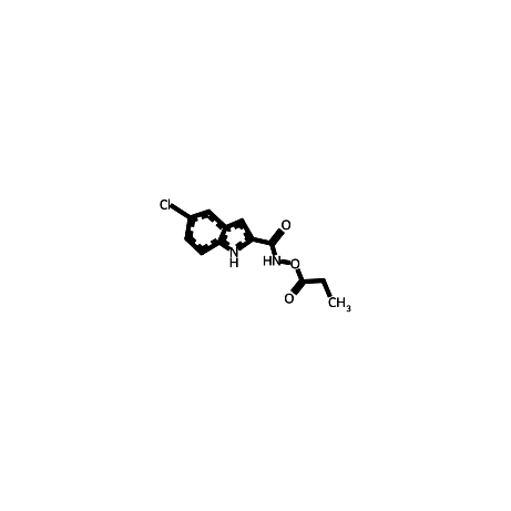 CCC(=O)ONC(=O)c1cc2cc(Cl)ccc2[nH]1